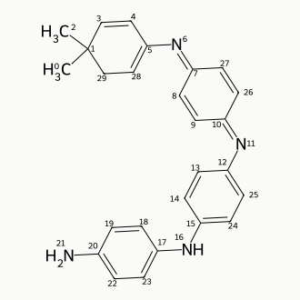 CC1(C)C=CC(N=C2C=CC(=Nc3ccc(Nc4ccc(N)cc4)cc3)C=C2)=CC1